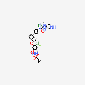 COc1cc(OC2CCc3c(-c4ccc(NC(=O)C5(Cl)N(C)C6=C(CNCC6)N5C)cc4)cccc32)c(Cl)c(F)c1CNOC(=O)C1CC1